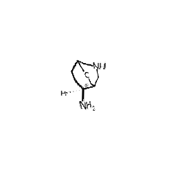 N[C@H]1CC2CCC1CN2